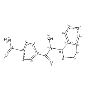 NC(=O)c1ccc(C(=O)N(O)C2CCCc3ccccc32)cc1